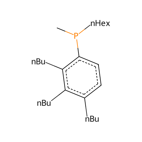 CCCCCCP(C)c1ccc(CCCC)c(CCCC)c1CCCC